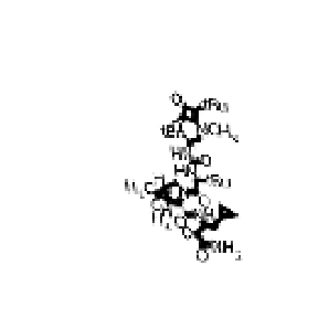 CN(C[C@@H](NC(=O)N[C@H](C(=O)N1C[C@H]2[C@@H]([C@H]1C(=O)NC(CC1CC1)C(=O)C(N)=O)C2(C)C)C(C)(C)C)C(C)(C)C)c1c(C(C)(C)C)c(=O)c1=O